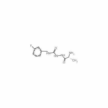 C[C@@H](N)C(=O)NNC(=O)NCc1cccc(F)c1